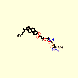 CN[C@@H](CSCC(=O)NC(C)(C)COC(C)(C)CCC(=O)O[C@H]1CC[C@@]2(C)C(=CCC3C2CC[C@@]2(C)C3CC[C@@H]2C(C)CCCC(C)C)C1)C(N)=O